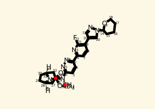 CN(c1ccc(-c2ccc(-c3cnn(C4CCCCO4)c3)c(F)n2)nn1)C1C[C@H]2CC[C@@H](C1)N2C(=O)OC(C)(C)C